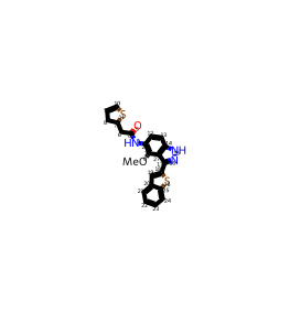 COc1c(NC(=O)CC2CC=CS2)ccc2[nH]nc(-c3cc4ccccc4s3)c12